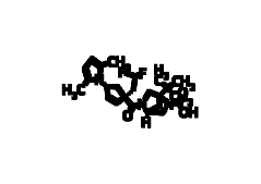 Cc1ccc(C)n1[C@@H]1C=C[C@](CC(F)F)(C(=O)N2C[C@@]3(C(C)(C)C)C[C@H]2CN3C(=O)O)C1